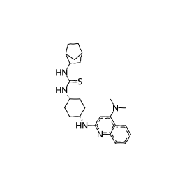 CN(C)c1cc(N[C@H]2CC[C@@H](NC(=S)NC3CC4CCC3C4)CC2)nc2ccccc12